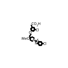 COC1(CCOc2cc(Cl)cc(CC(=O)O)c2)CCN(c2nc3ccc(Cl)cc3s2)CC1